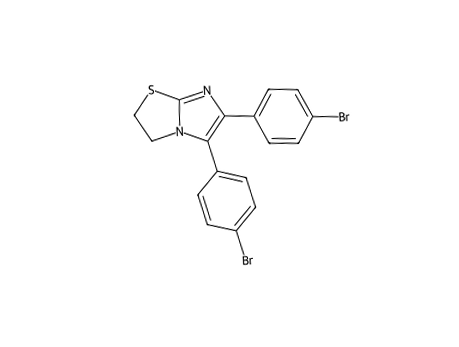 Brc1ccc(-c2nc3n(c2-c2ccc(Br)cc2)CCS3)cc1